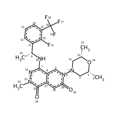 C[C@@H]1CN(n2cc3c(N[C@H](C)c4cccc(C(F)(F)F)c4F)nn(C)c(=O)c3cc2=O)C[C@H](C)O1